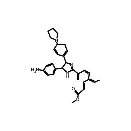 C=C(\C=C/C(/C=C/C(=O)OC)=C\C)C1=NC(C2=CCC(N3CCCC3)C=C2)C(c2ccc(N)cc2)N1